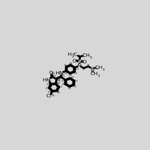 CC(C)S(=O)(=O)N(CCN(C)C)c1ccc(N/C(=C2\C(=O)Nc3cc(Cl)ccc32)c2ccccc2)cc1